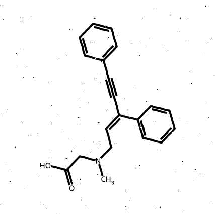 CN(CC=C(C#Cc1ccccc1)c1ccccc1)CC(=O)O